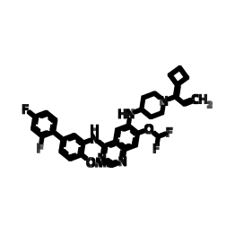 C=CC(=C1CCC1)N1CCC(Nc2cc3c(Nc4cc(-c5ccc(F)cc5F)ccc4OC)ncnc3cc2OC(F)F)CC1